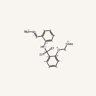 CCC(CC)(Pc1ccccc1/C=N/C(C)(C)C)c1ccccc1OCOC